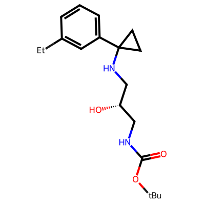 CCc1cccc(C2(NC[C@@H](O)CNC(=O)OC(C)(C)C)CC2)c1